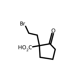 O=C(O)C1(CCBr)CCCC1=O